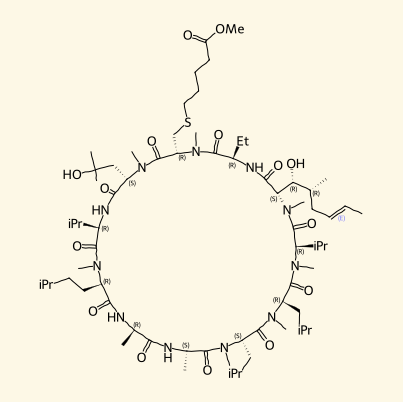 C/C=C/C[C@@H](C)[C@@H](O)[C@H]1C(=O)N[C@H](CC)C(=O)N(C)[C@@H](CSCCCCC(=O)OC)C(=O)N(C)[C@@H](CC(C)(C)O)C(=O)N[C@H](C(C)C)C(=O)N(C)[C@H](CCC(C)C)C(=O)N[C@H](C)C(=O)N[C@@H](C)C(=O)N(C)[C@@H](CC(C)C)C(=O)N(C)[C@H](CC(C)C)C(=O)N(C)[C@H](C(C)C)C(=O)N1C